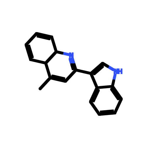 CC1=CC(c2c[nH]c3ccccc23)=NC2C=CC=CC12